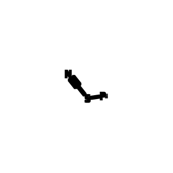 N#CS[P]